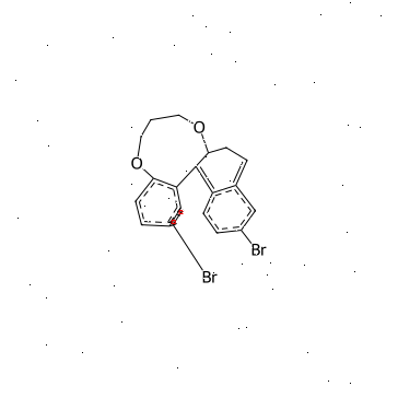 Brc1ccc2c(c1)=CCC1OCCCOc3ccc4cc(Br)ccc4c3C=21